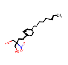 CCCCCCCCc1ccc(CCC(CO)(CO)[N+](=O)[O-])cc1